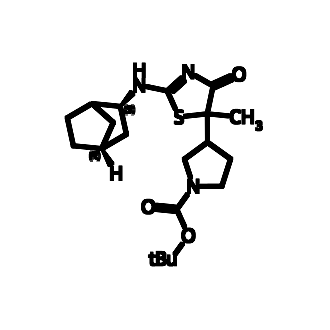 CC(C)(C)OC(=O)N1CCC(C2(C)SC(N[C@H]3C[C@@H]4CCC3C4)=NC2=O)C1